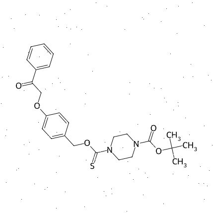 CC(C)(C)OC(=O)N1CCN(C(=S)OCc2ccc(OCC(=O)c3ccccc3)cc2)CC1